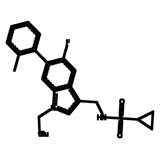 Cc1ccccc1-c1cc2c(cc1F)c(CNS(=O)(=O)C1CC1)cn2CC(C)(C)C